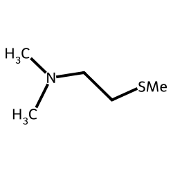 CSCCN(C)C